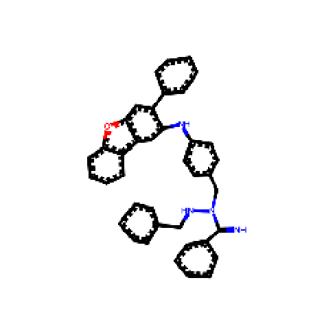 N=C(c1ccccc1)N(Cc1ccc(Nc2cc3c(cc2-c2ccccc2)oc2ccccc23)cc1)NCc1ccccc1